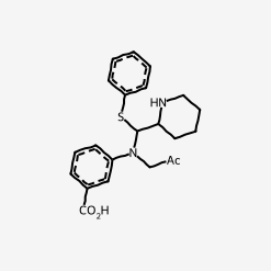 CC(=O)CN(c1cccc(C(=O)O)c1)C(Sc1ccccc1)C1CCCCN1